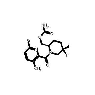 Cc1ccc(Br)nc1C(=O)N1CC(F)(F)CC[C@@H]1COC(N)=O